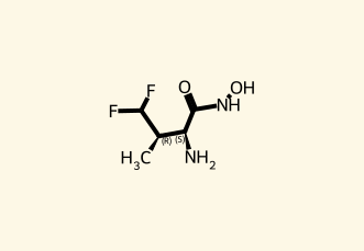 C[C@@H](C(F)F)[C@H](N)C(=O)NO